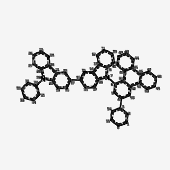 c1ccc(-c2cc(-n3c4ccccc4c4cc(-c5ccc6c(c5)c5ccccc5n6-c5ccccc5)ccc43)c3c4ccccc4c4ccccc4c3c2)cc1